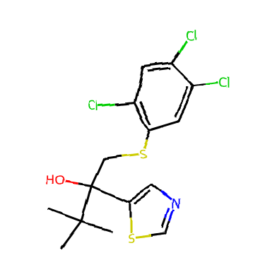 CC(C)(C)C(O)(CSc1cc(Cl)c(Cl)cc1Cl)c1cncs1